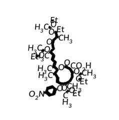 CCOC(C)OC1CCC(C)(OC(C)OCC)C(Oc2ccc([N+](=O)[O-])cc2)/C=C/C(C)C(/C(C)=C/C=C/C(C)(CC2OC2C(C)C(CC)OC(C)OCC)OC(C)OCC)OC(=O)C1C(=O)O